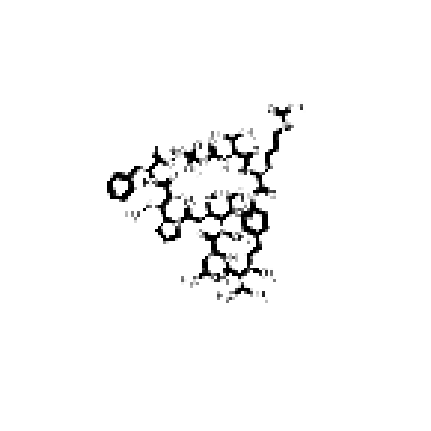 CC[C@H](C)[C@@H]([C@@H](CC(=O)N1CCC[C@H]1[C@H](OC)[C@@H](C)C(=O)N[C@@H](Cc1ccccc1)C(=O)OC)OC)N(C)C(=O)[C@H](CC(C)C)NC(=O)[C@H](C(C)C)N(C)CCc1ccc(NC(=O)[C@H](CCCCNC(N)=O)NC(=O)[C@@H](NC(=O)OC(C)(C)C)C(C)C)cc1